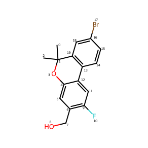 CC1(C)Oc2cc(CO)c(F)cc2-c2ccc(Br)cc21